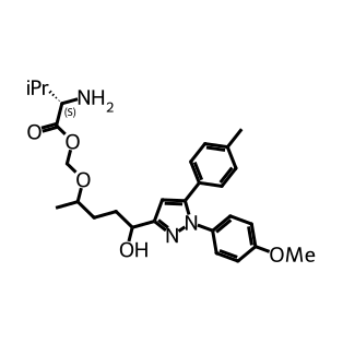 COc1ccc(-n2nc(C(O)CCC(C)OCOC(=O)[C@@H](N)C(C)C)cc2-c2ccc(C)cc2)cc1